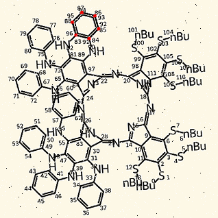 CCCCSc1c(SCCCC)c(SCCCC)c2c(c1SCCCC)-c1nc-2nc2[nH]c(nc3nc(nc4[nH]c(n1)c1c(Nc5ccccc5)c(Nc5ccccc5)c(Nc5ccccc5)c(Nc5ccccc5)c41)-c1c(Nc4ccccc4)c(Nc4ccccc4)c(Nc4ccccc4)c(Nc4ccccc4)c1-3)c1c(SCCCC)c(SCCCC)c(SCCCC)c(SCCCC)c21